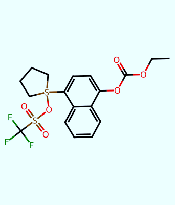 CCOC(=O)Oc1ccc(S2(OS(=O)(=O)C(F)(F)F)CCCC2)c2ccccc12